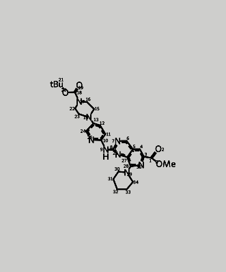 COC(=O)c1cc2cnc(Nc3ccc(N4CCN(C(=O)OC(C)(C)C)CC4)cn3)nc2c(N2CCCCC2)n1